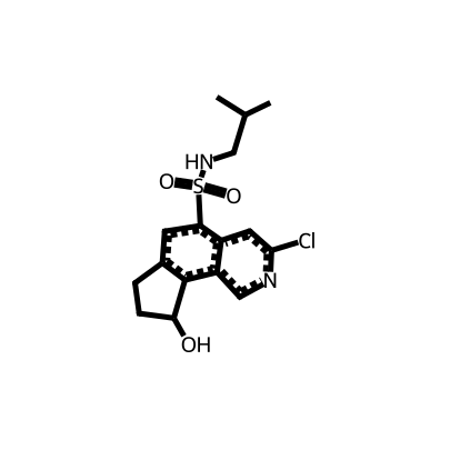 CC(C)CNS(=O)(=O)c1cc2c(c3cnc(Cl)cc13)C(O)CC2